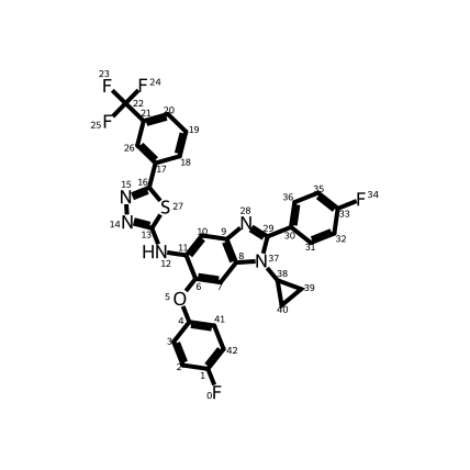 Fc1ccc(Oc2cc3c(cc2Nc2nnc(-c4cccc(C(F)(F)F)c4)s2)nc(-c2ccc(F)cc2)n3C2CC2)cc1